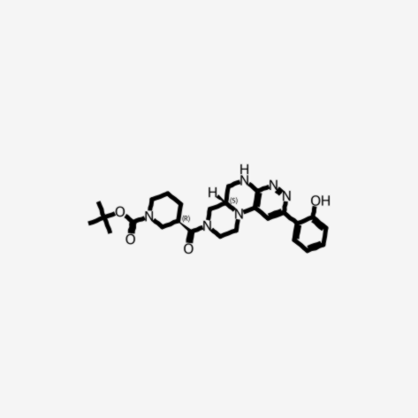 CC(C)(C)OC(=O)N1CCC[C@@H](C(=O)N2CCN3c4cc(-c5ccccc5O)nnc4NC[C@H]3C2)C1